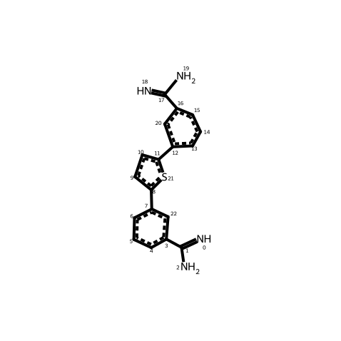 N=C(N)c1cccc(-c2ccc(-c3cccc(C(=N)N)c3)s2)c1